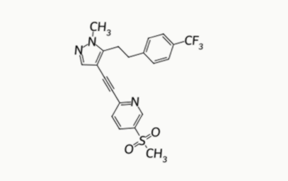 Cn1ncc(C#Cc2ccc(S(C)(=O)=O)cn2)c1CCc1ccc(C(F)(F)F)cc1